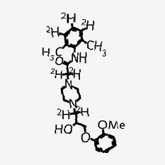 [2H]c1c([2H])c(C)c(NC(=O)C([2H])([2H])N2CCN(C([2H])([2H])C(O)COc3ccccc3OC)CC2)c(C)c1[2H]